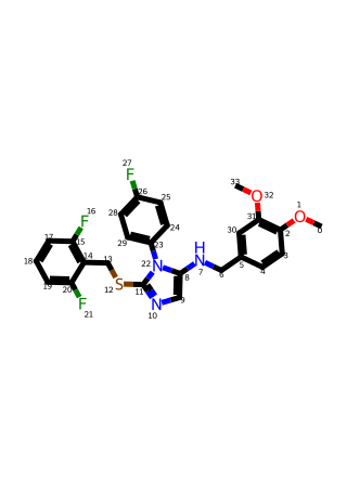 COc1ccc(CNc2cnc(SCc3c(F)cccc3F)n2-c2ccc(F)cc2)cc1OC